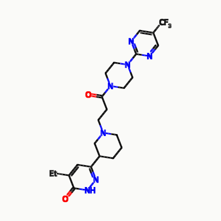 CCc1cc(C2CCCN(CCC(=O)N3CCN(c4ncc(C(F)(F)F)cn4)CC3)C2)n[nH]c1=O